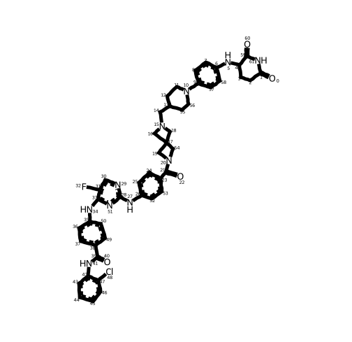 O=C1CCC(Nc2ccc(N3CCC(CN4CC5(C4)CN(C(=O)c4ccc(Nc6ncc(F)c(Nc7ccc(C(=O)Nc8ccccc8Cl)cc7)n6)cc4)C5)CC3)cc2)C(=O)N1